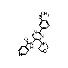 COc1cccc(-c2ncc(NC(=O)c3ccncc3)c(N3CCOCC3)n2)c1